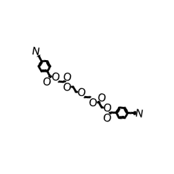 N#Cc1ccc(C(=O)OCC(=O)OCCOCCOC(=O)COC(=O)c2ccc(C#N)cc2)cc1